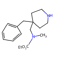 CCOC(=O)N(C)CC1(Cc2ccccc2)CCNCC1